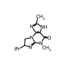 Cc1nc2c([nH]1)C(=O)N(C)C1=NC(C(C)C)CN12